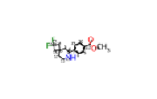 COC(=O)c1ccc([C@@H]2CC3(CCN2)CC(F)(F)C3)cc1